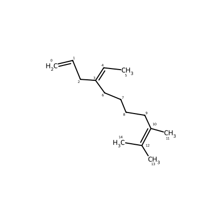 C=CCC(=CC)CCCCC(C)=C(C)C